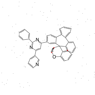 c1ccc(-c2nc(-c3cccnc3)cc(-c3ccc4c(c3)C3(c5ccccc5Oc5ccccc53)c3ccccc3-c3ccccc3-4)n2)cc1